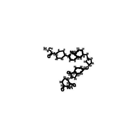 CC(=O)N1CCC(c2ccc3cc(CN4CC[C@H](Oc5ccc6c(c5)CN([C@H]5CCC(=O)NC5=O)C6=O)C4)ccc3n2)CC1